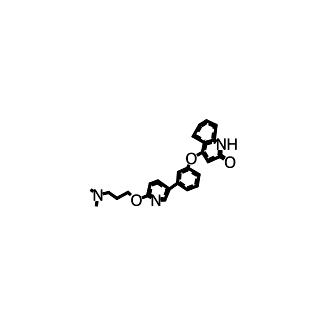 CN(C)CCCOc1ccc(-c2cccc(Oc3cc(=O)[nH]c4ccccc34)c2)cn1